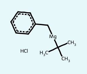 C[C](C)(C)[Mg][CH2]c1ccccc1.Cl